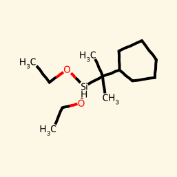 CCO[SiH](OCC)C(C)(C)C1CCCCC1